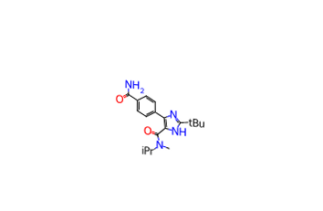 CC(C)N(C)C(=O)c1[nH]c(C(C)(C)C)nc1-c1ccc(C(N)=O)cc1